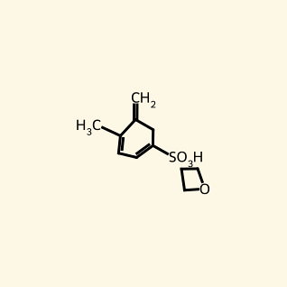 C1COC1.C=C1CC(S(=O)(=O)O)=CC=C1C